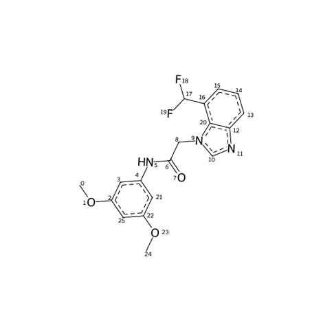 COc1cc(NC(=O)Cn2cnc3cccc(C(F)F)c32)cc(OC)c1